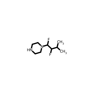 CC(C)C(F)C(F)N1CCNCC1